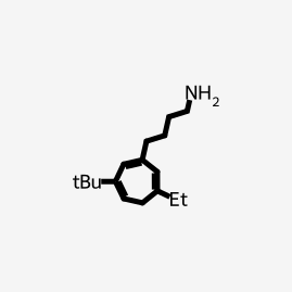 CCC1=CC(CCCCN)=CC(C(C)(C)C)=CC1